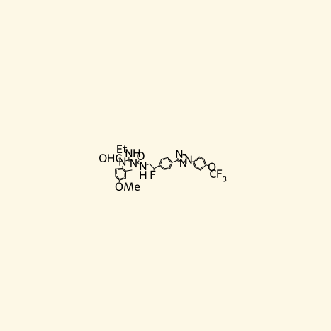 CCN/C(=N\C(=O)NCC(F)c1ccc(-c2ncn(-c3ccc(OC(F)(F)F)cc3)n2)cc1)N(C=O)c1ccc(OC)cc1C